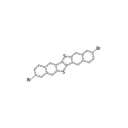 Brc1ccc2cc3c(cc2c1)sc1c2cc4ccc(Br)cc4cc2sc31